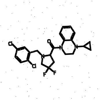 O=C(C1CC(F)(F)CN1Cc1cc(Cl)ccc1Cl)N1CCN(C2CC2)c2ccccc21